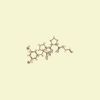 C=CCOC(=O)N1CCCC1C(=O)N1CCCC1(Cc1cc(Br)cc(Br)c1)C(=O)O